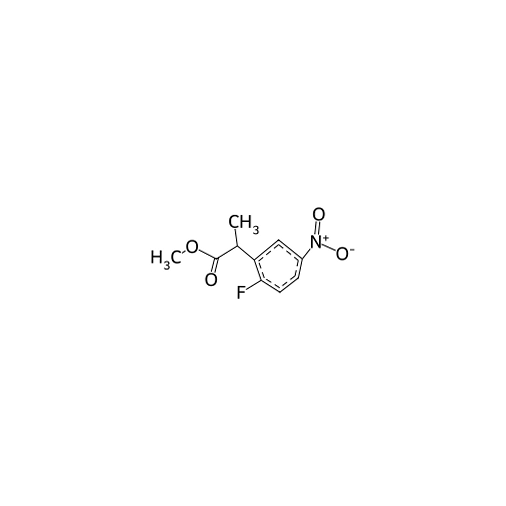 COC(=O)C(C)c1cc([N+](=O)[O-])ccc1F